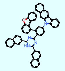 c1ccc2cc(C3=NC(c4ccc(-n5c6ccccc6c6cc7ccccc7cc65)cc4-c4cccc5oc6ccccc6c45)=NC(c4ccc5ccccc5c4)N3)ccc2c1